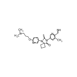 Cc1cc(N2C(=O)C3(CCC3)N(c3ccc(OCCCN(C)C)nc3)C2=S)cnc1C=N